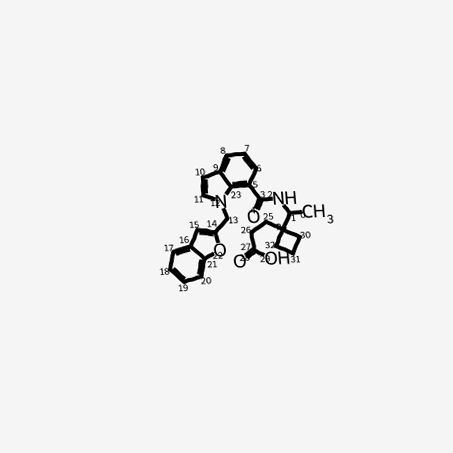 CC(NC(=O)c1cccc2ccn(Cc3cc4ccccc4o3)c12)C1(CCC(=O)O)CCC1